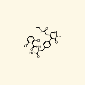 CCOC(=O)Cc1cnn(C)c(=O)c1-c1ccc(C[C@H](NC(=O)c2c(Cl)cccc2Cl)C(=O)O)cc1